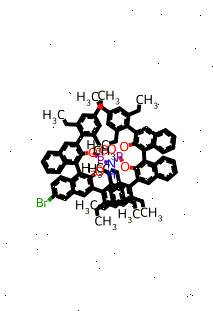 CCc1cc(CC)c(-c2cc3ccccc3c3c2OP(=O)(NP2(=O)Oc4c(-c5c(CC)cc(CC)cc5CC)cc5ccccc5c4-c4c(c(-c5c(CC)cc(CC)cc5CC)cc5cc(Br)ccc45)O2)Oc2c(-c4c(CC)cc(CC)cc4CC)cc4ccccc4c2-3)c(CC)c1